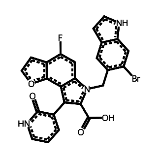 O=C(O)c1c(-c2ccc[nH]c2=O)c2c3occc3c(F)cc2n1Cc1cc2cc[nH]c2cc1Br